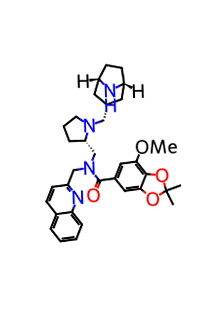 COc1cc(C(=O)N(Cc2ccc3ccccc3n2)C[C@@H]2CCCN2C[C@H]2C[C@H]3CC[C@@H](C2)N3)cc2c1OC(C)(C)O2